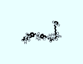 CC(C)[C@H](NC(=O)CCCCCN1C(=O)C=CC1=O)C(=O)N[C@@H](C)C(=O)NCSCCc1ccc(NC(=O)NCc2ccc3c(c2)CN(C2CCC(=O)NC2=O)C3=O)cc1Cl